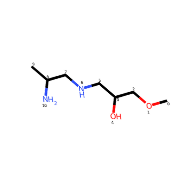 COCC(O)CNCC(C)N